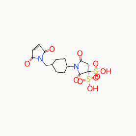 O=C1C=CC(=O)N1CC1CCC(N2C(=O)CC(S(=O)(=O)O)(S(=O)(=O)O)C2=O)CC1